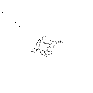 Cc1ccc(N2c3cccc(c3)N(c3ccccc3S(C)(C)C)c3cc(c4ccc5cc(C(C)(C)C)cc6ccc3c4c65)N(c3ccccc3S(C)(C)C)c3cccc2c3)cc1